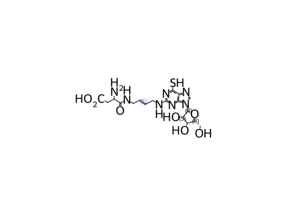 NC(CC(=O)O)C(=O)NC/C=C/CNc1nc(S)c2ncn([C@@H]3O[C@H](CO)C(O)[C@@H]3O)c2n1